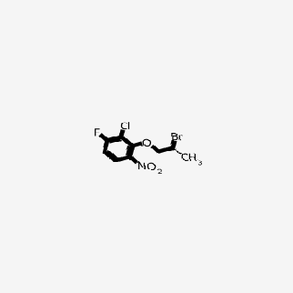 C[C@@H](Br)COc1c([N+](=O)[O-])ccc(F)c1Cl